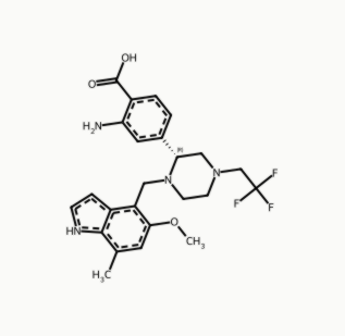 COc1cc(C)c2[nH]ccc2c1CN1CCN(CC(F)(F)F)C[C@H]1c1ccc(C(=O)O)c(N)c1